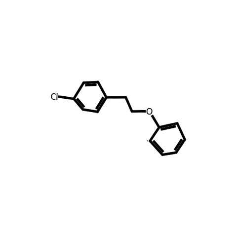 Clc1ccc(CCOc2[c]cccc2)cc1